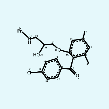 Cc1cc(C)c(C(=O)c2ccc(Cl)cc2)c(OCC(O)CNC(C)C)c1